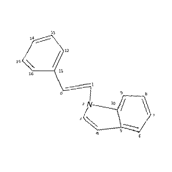 C(=Cn1ccc2ccccc21)c1ccccc1